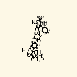 CN(C)C(=O)C(C)(C)c1ccc(N2CCN(C(=O)[C@@H]3CCCC[C@H]3C(=O)NC3(C#N)CC3)CC2)cc1